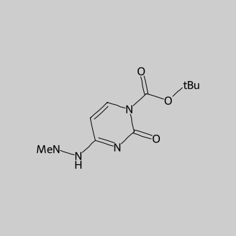 CNNc1ccn(C(=O)OC(C)(C)C)c(=O)n1